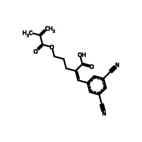 C=C(C)C(=O)OCCCC(=Cc1cc(C#N)cc(C#N)c1)C(=O)O